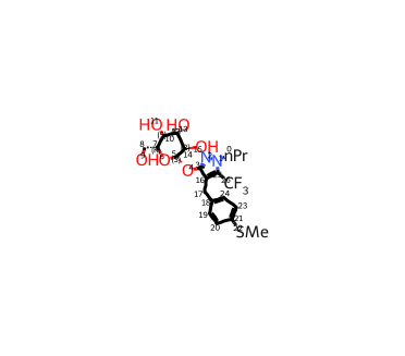 CCCn1nc(O[C@@H]2O[C@H](CO)[C@@H](O)[C@H](O)[C@H]2O)c(Cc2ccc(SC)cc2)c1C(F)(F)F